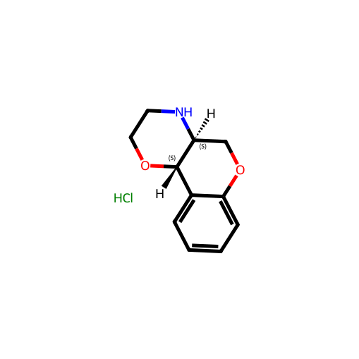 Cl.c1ccc2c(c1)OC[C@@H]1NCCO[C@@H]21